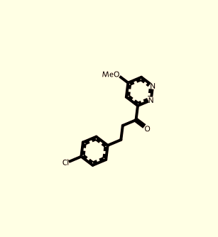 COc1cnnc(C(=O)CCc2ccc(Cl)cc2)c1